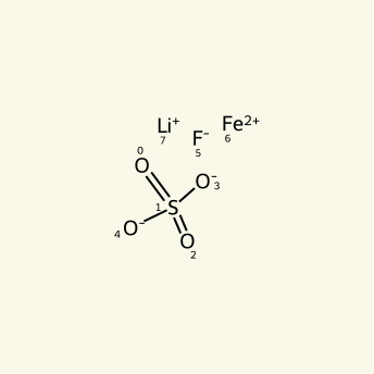 O=S(=O)([O-])[O-].[F-].[Fe+2].[Li+]